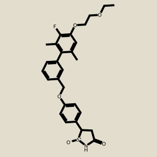 CCOCCOc1cc(C)c(-c2cccc(COc3ccc(C4CC(=O)N[S+]4[O-])cc3)c2)c(C)c1F